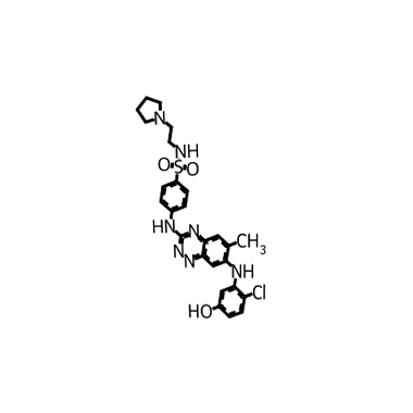 Cc1cc2nc(Nc3ccc(S(=O)(=O)NCCN4CCCC4)cc3)nnc2cc1Nc1cc(O)ccc1Cl